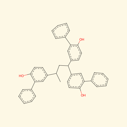 CC(CC(c1ccc(O)c(-c2ccccc2)c1)c1ccc(O)c(-c2ccccc2)c1)c1ccc(O)c(-c2ccccc2)c1